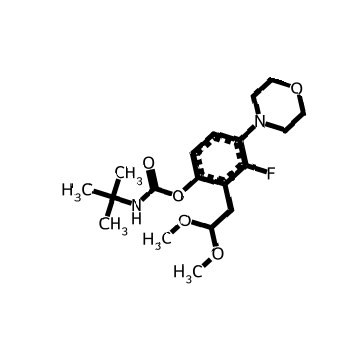 COC(Cc1c(OC(=O)NC(C)(C)C)ccc(N2CCOCC2)c1F)OC